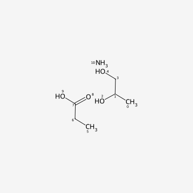 CC(O)CO.CCC(=O)O.N